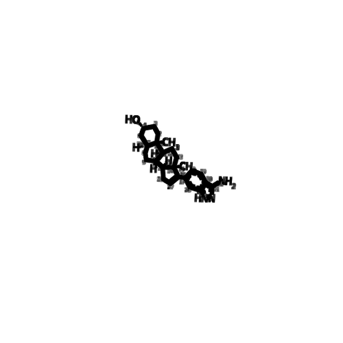 C[C@]12CC[C@@H](O)C[C@@H]1CC[C@@H]1[C@@H]2CC[C@]2(C)C(c3ccc4c(N)n[nH]c4c3)=CC[C@@H]12